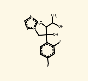 CC(O)[C@H](C)C(O)(Cn1cncn1)c1ccc(F)cc1F